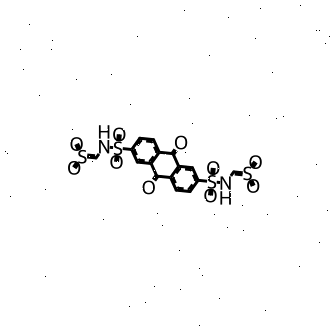 O=C1c2ccc(S(=O)(=O)NC=S(=O)=O)cc2C(=O)c2ccc(S(=O)(=O)NC=S(=O)=O)cc21